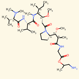 CC[C@H](C)[C@@H]([C@@H](CC(=O)N1CCC[C@H]1[C@H](OC)[C@@H](C)C(=O)NCC(=O)OC(C)CN)OC)N(C)C(=O)[C@@H](NC(=O)[C@H](C(C)C)N(C)C)C(C)C